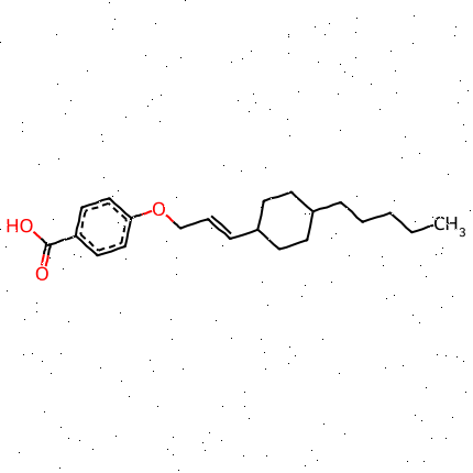 CCCCCC1CCC(C=CCOc2ccc(C(=O)O)cc2)CC1